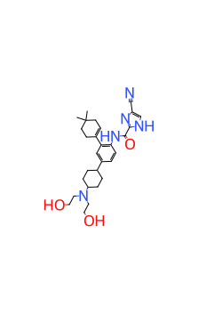 CC1(C)CC=C(c2cc(C3CCC(N(CCO)CCO)CC3)ccc2NC(=O)c2nc(C#N)c[nH]2)CC1